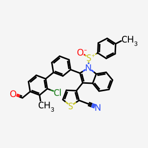 Cc1ccc([S+]([O-])n2c(-c3cccc(-c4ccc(C=O)c(C)c4Cl)c3)c(-c3ccsc3C#N)c3ccccc32)cc1